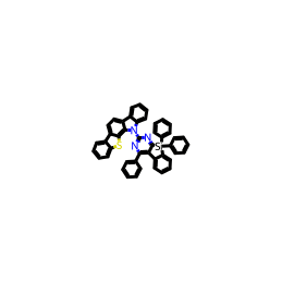 c1ccc(-c2nc(-n3c4ccccc4c4ccc5c6ccccc6sc5c43)nc3c2-c2ccccc2[Si]3(c2ccccc2)c2ccccc2)cc1